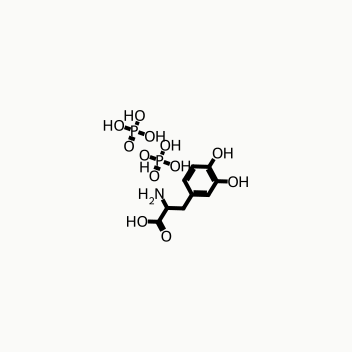 NC(Cc1ccc(O)c(O)c1)C(=O)O.O=P(O)(O)O.O=P(O)(O)O